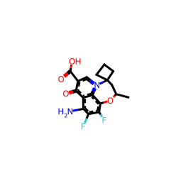 CC1CC2(CCC2)n2cc(C(=O)O)c(=O)c3c(N)c(F)c(F)c(c32)O1